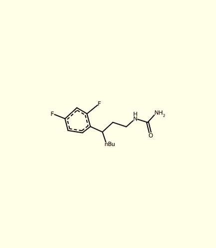 CCCCC(CCNC(N)=O)c1ccc(F)cc1F